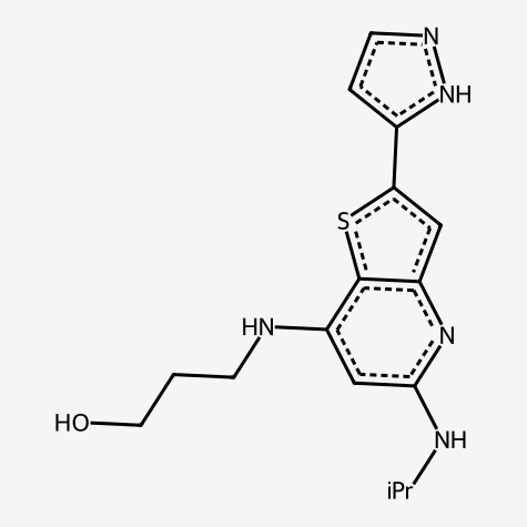 CC(C)Nc1cc(NCCCO)c2sc(-c3ccn[nH]3)cc2n1